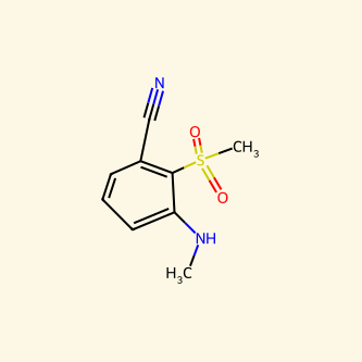 CNc1cccc(C#N)c1S(C)(=O)=O